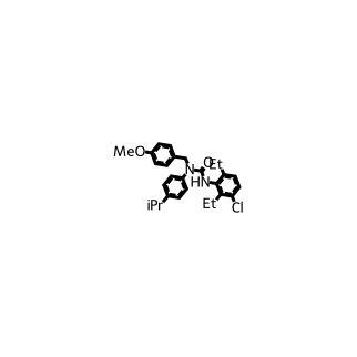 CCc1ccc(Cl)c(CC)c1NC(=O)N(Cc1ccc(OC)cc1)c1ccc(C(C)C)cc1